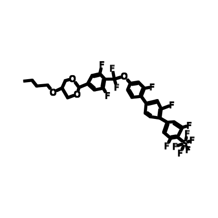 CCCCOC1COC(c2cc(F)c(C(F)(F)Oc3ccc(-c4ccc(-c5cc(F)c(S(F)(F)(F)(F)F)c(F)c5)c(F)c4)c(F)c3)c(F)c2)OC1